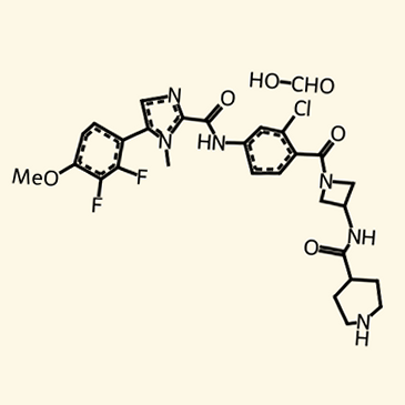 COc1ccc(-c2cnc(C(=O)Nc3ccc(C(=O)N4CC(NC(=O)C5CCNCC5)C4)c(Cl)c3)n2C)c(F)c1F.O=CO